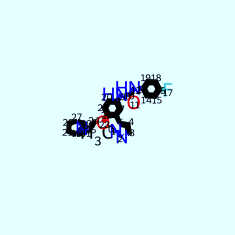 Cn1nccc1-c1cc(NC(=O)Nc2ccc(F)cc2)ccc1OCCN1C2CCC1CC2